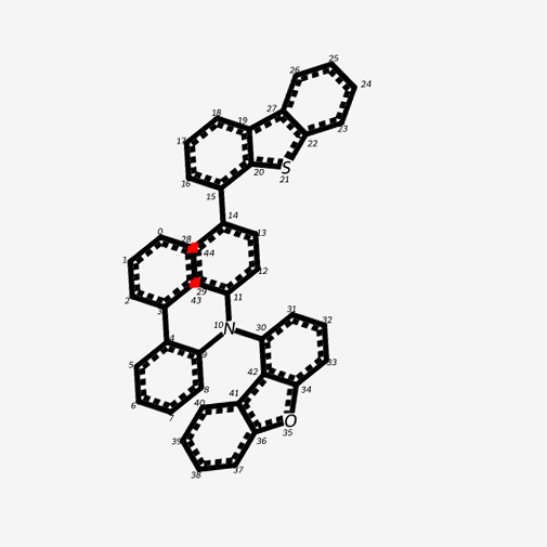 c1ccc(-c2ccccc2N(c2ccc(-c3cccc4c3sc3ccccc34)cc2)c2cccc3oc4ccccc4c23)cc1